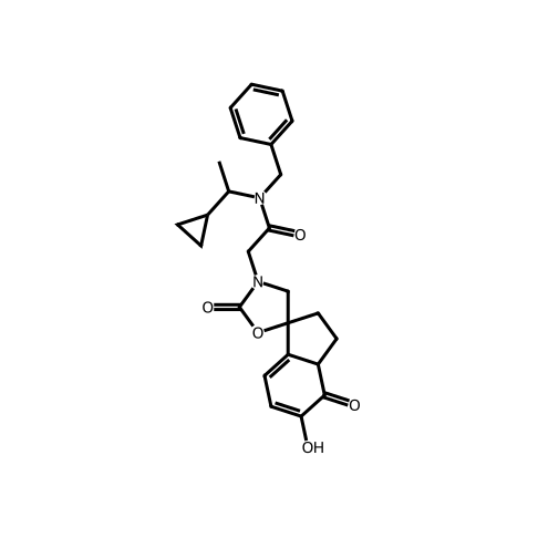 CC(C1CC1)N(Cc1ccccc1)C(=O)CN1CC2(CCC3C(=O)C(O)=CC=C32)OC1=O